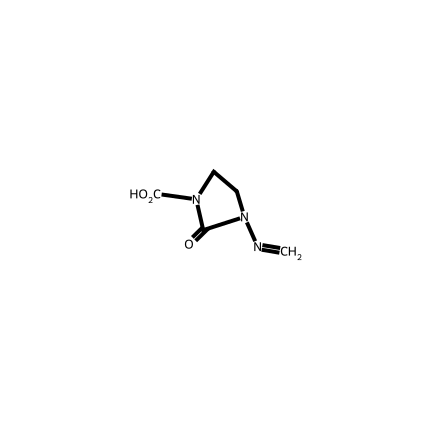 C=NN1CCN(C(=O)O)C1=O